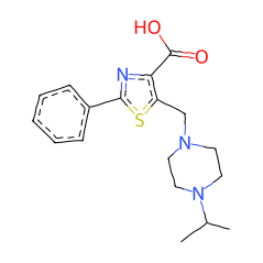 CC(C)N1CCN(Cc2sc(-c3ccccc3)nc2C(=O)O)CC1